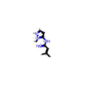 CC(C)=CC(=N)Nc1ccnn1C